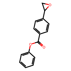 O=C(Oc1ccccc1)c1ccc(C2CO2)cc1